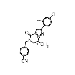 C[C@H]1CN(Cc2ccc(C#N)cc2)C(=O)c2cc(-c3ccc(Cl)cc3F)nn21